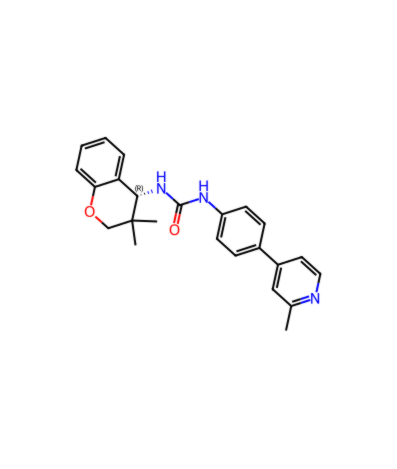 Cc1cc(-c2ccc(NC(=O)N[C@H]3c4ccccc4OCC3(C)C)cc2)ccn1